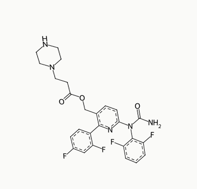 NC(=O)N(c1ccc(COC(=O)CCN2CCNCC2)c(-c2ccc(F)cc2F)n1)c1c(F)cccc1F